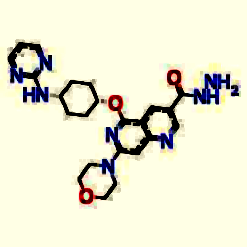 NNC(=O)c1cnc2cc(N3CCOCC3)nc(O[C@H]3CC[C@@H](Nc4ncccn4)CC3)c2c1